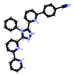 N#Cc1ccc(-c2cccc(-c3nnc(-c4cccc(-c5ccccn5)n4)n3-c3ccccc3)n2)cc1